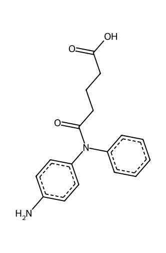 Nc1ccc(N(C(=O)CCCC(=O)O)c2ccccc2)cc1